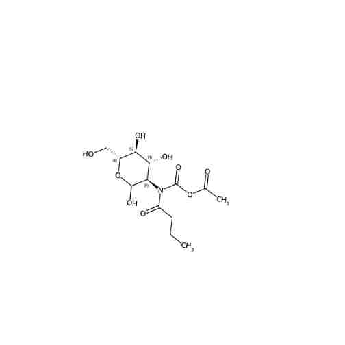 CCCC(=O)N(C(=O)OC(C)=O)[C@H]1C(O)O[C@H](CO)[C@@H](O)[C@@H]1O